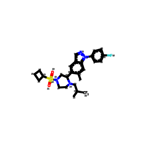 Cc1cc2c(cnn2-c2ccc(F)cc2)cc1C1CN(S(=O)(=O)C2CCC2)CCN1CC(C)C(F)(F)F